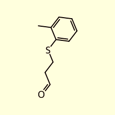 Cc1ccccc1SCCC=O